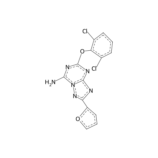 Nc1nc(Oc2c(Cl)cccc2Cl)nc2nc(-c3ccco3)nn12